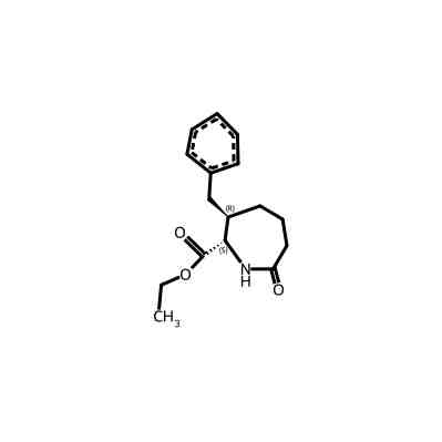 CCOC(=O)[C@H]1NC(=O)CCC[C@@H]1Cc1ccccc1